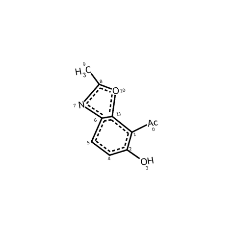 CC(=O)c1c(O)ccc2nc(C)oc12